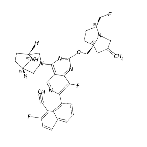 C#Cc1c(F)ccc2cccc(-c3ncc4c(N5C[C@H]6CC[C@@H](C5)N6)nc(OC[C@@]56CC[C@@H](CF)N5CC(=C)C6)nc4c3F)c12